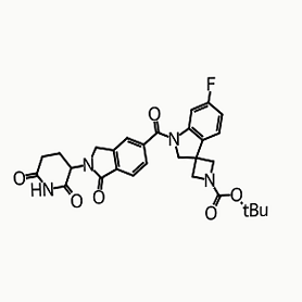 CC(C)(C)OC(=O)N1CC2(C1)CN(C(=O)c1ccc3c(c1)CN(C1CCC(=O)NC1=O)C3=O)c1cc(F)ccc12